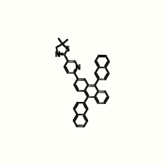 CC1(C)CN=C(c2ccc(-c3ccc4c(-c5ccc6ccccc6c5)c5ccccc5c(-c5ccc6ccccc6c5)c4c3)nc2)S1